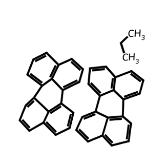 CCC.c1cc2cccc3c4cccc5cccc(c(c1)c23)c54.c1cc2cccc3c4cccc5cccc(c(c1)c23)c54